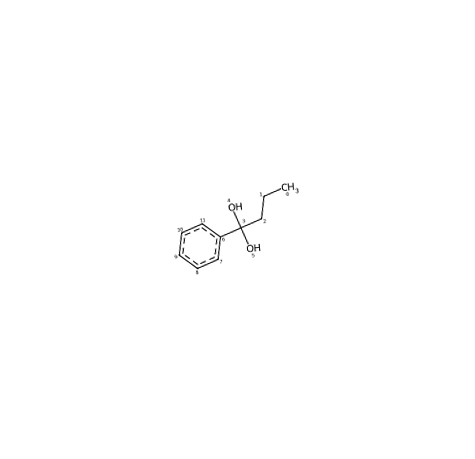 CCCC(O)(O)c1ccccc1